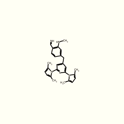 CNc1cc(Cc2cc(-n3c(C)ccc3C)nc(-n3c(C)ccc3C)c2)ccc1C=N